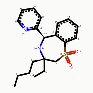 CCCC[C@]1(CC)CS(=O)(=O)c2ccccc2[C@H](c2ccccn2)N1